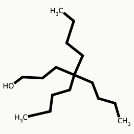 CCCCC(CCCC)(CCCC)CCCO